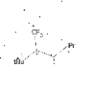 CC(C)CC(C(C)(C)C)C(F)(F)F